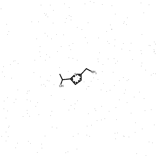 CC(O)c1ccc(CN)s1